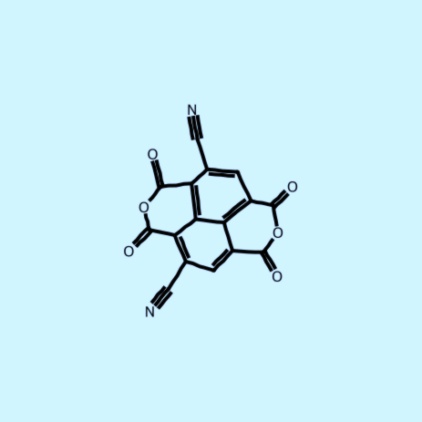 N#Cc1cc2c3c(cc(C#N)c4c3c1C(=O)OC4=O)C(=O)OC2=O